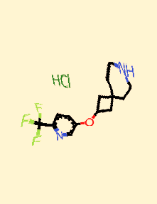 Cl.FC(F)(F)c1ccc(OC2CC3(CCNCC3)C2)cn1